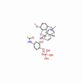 CC(=O)Nc1ccc(O)cc1.COc1ccc2c3c1O[C@H]1[C@@H](O)C=C[C@H]4C(C2)N(C)CC[C@@]341.O=P(O)(O)O